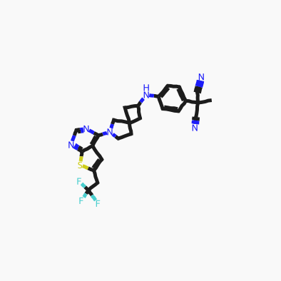 CC(C#N)(C#N)c1ccc(NC2CC3(CCN(c4ncnc5sc(CC(F)(F)F)cc45)C3)C2)cc1